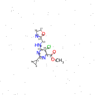 COC(=O)c1nc(C2CC2)nc(NCC2=NCCO2)c1Cl